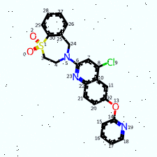 O=S1(=O)CCN(c2cc(Cl)c3cc(Oc4ccccn4)ccc3n2)Cc2ccccc21